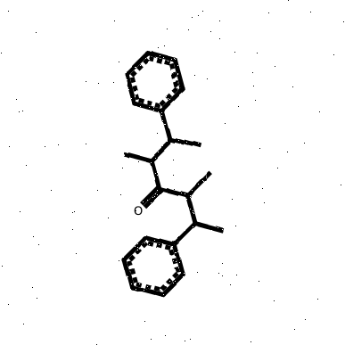 CC(C(=O)C(C)C(C)c1ccccc1)C(C)c1ccccc1